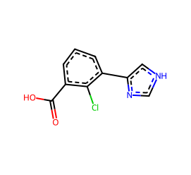 O=C(O)c1cccc(-c2c[nH]cn2)c1Cl